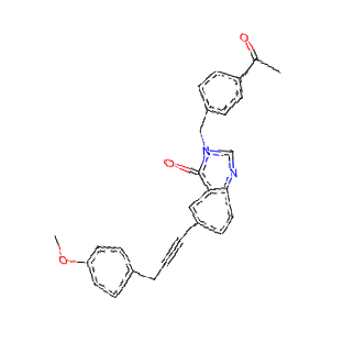 COc1ccc(CC#Cc2ccc3ncn(Cc4ccc(C(C)=O)cc4)c(=O)c3c2)cc1